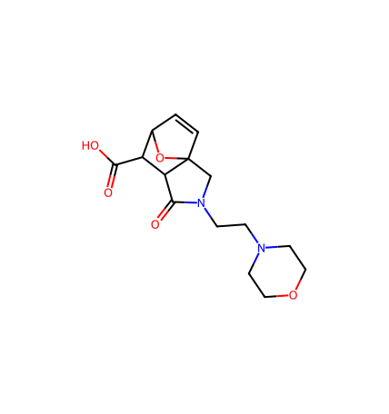 O=C(O)C1C2C=CC3(CN(CCN4CCOCC4)C(=O)C13)O2